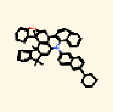 CC1(C)C2=CC3(C)C4=C(C5(C)C(=CC4(C)c4ccc6ccccc6c4N3c3ccc4cc(C6CCCCC6)ccc4c3)Oc3ccccc35)C2(C)c2ccccc21